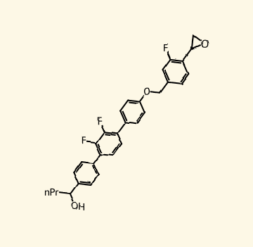 CCCC(O)c1ccc(-c2ccc(-c3ccc(OCc4ccc(C5CO5)c(F)c4)cc3)c(F)c2F)cc1